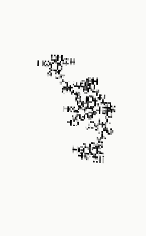 COCCN(CCOP(=O)(O)OCCN(CCOP(=O)(O)OCCN(CCO)C(=O)CCCO[C@@H]1OC(CO)[C@H](O)[C@H](O)C1C)C(=O)CCCO[C@@H]1OC(CO)[C@H](O)[C@H](O)C1C)C(=O)CCCO[C@@H]1OC(CO)[C@H](O)[C@H](O)C1C